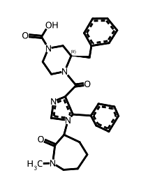 CN1CCCCC(n2cnc(C(=O)N3CCN(C(=O)O)C[C@H]3Cc3ccccc3)c2-c2ccccc2)C1=O